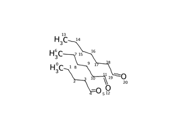 CCCCC=O.CCCCCC=O.CCCCCCC=O